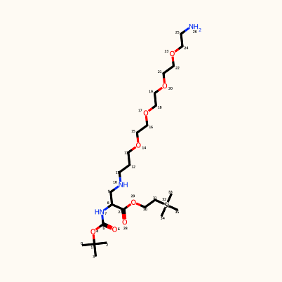 CC(C)(C)OC(=O)NC(CNCCCOCCOCCOCCOCCN)C(=O)OCC[Si](C)(C)C